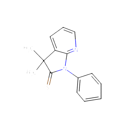 CC1(C)C(=S)N(c2ccccc2)c2ncccc21